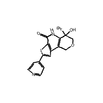 CC(C)C1(O)COCc2c1[nH]c(=O)c1sc(-c3ccncc3)cc21